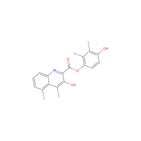 O=C(Oc1ccc(O)c(I)c1I)c1nc2cccc(I)c2c(I)c1O